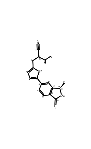 CN[C@H](C#N)Cc1ccc(-c2ccc3c(c2)[C@@H](C)OC3=O)s1